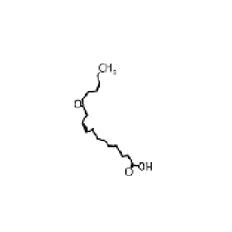 CC/C=C\CC1OC1C/C=C\CCCCCCCC(=O)O